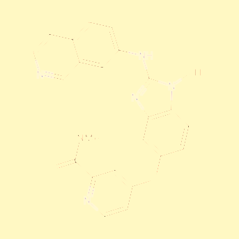 CNC(=O)c1cc(Oc2ccc3c(c2)nc(Nc2ccc4ccncc4c2)n3C)ccn1